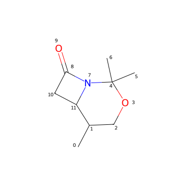 CC1COC(C)(C)N2C(=O)CC12